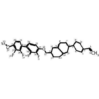 C=CC1CCC(C2CCC3CC(COc4ccc(-c5ccc(OCC)c(F)c5F)c(F)c4F)CCC3C2)CC1